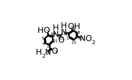 NC(=O)c1ccc(O)c(NC(=O)Nc2ccc([N+](=O)[O-])cc2O)c1